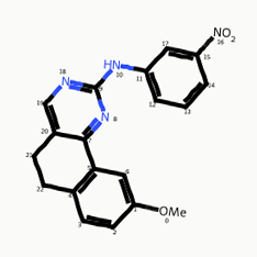 COc1ccc2c(c1)-c1nc(Nc3cccc([N+](=O)[O-])c3)ncc1CC2